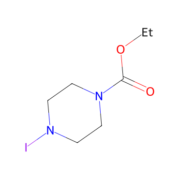 CCOC(=O)N1CCN(I)CC1